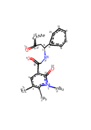 CCCCn1c(CCC)c(CC)cc(C(=O)N[C@@H](C(=O)OC)c2ccccc2)c1=O